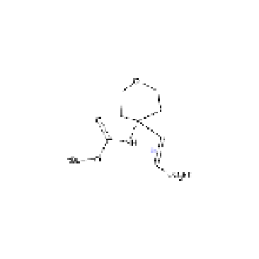 CCOC(=O)/C=C/C1(NC(=O)OC(C)(C)C)CCOCC1